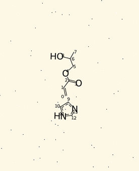 C=CC(=O)OCC(C)O.c1c[nH]cn1